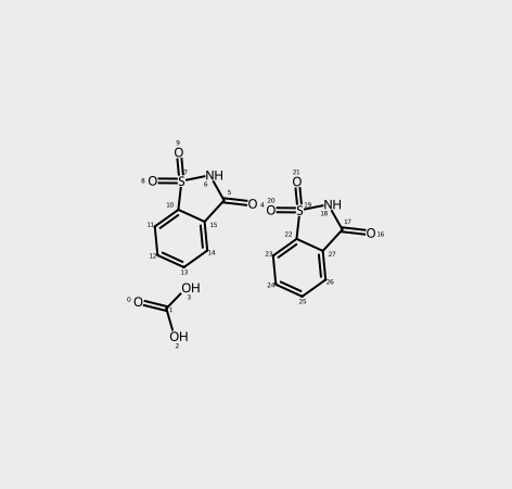 O=C(O)O.O=C1NS(=O)(=O)c2ccccc21.O=C1NS(=O)(=O)c2ccccc21